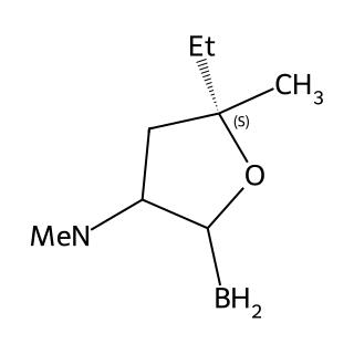 BC1O[C@@](C)(CC)CC1NC